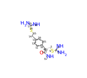 CNC(=O)[C@@H](CSC(=N)N)c1ccc(CCSC(=N)N)cc1